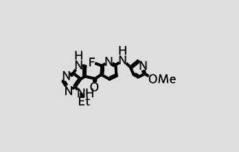 CCNc1ncnc2[nH]cc(C(=O)c3ccc(Nc4ccc(OC)nc4)nc3F)c12